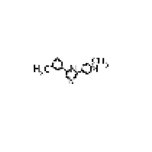 Cc1cccc(-c2cncc(C3=CC[C@](C)(I)C=C3)n2)c1